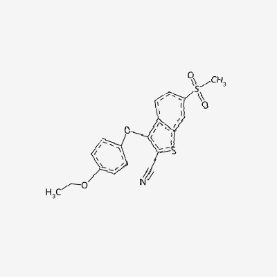 CCOc1ccc(Oc2c(C#N)sc3cc(S(C)(=O)=O)ccc23)cc1